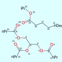 CCCC(=O)OCC(COC(=O)CCC)OC(=O)CCC.CCCCCCCCCCCCCC(=O)OC(C)C